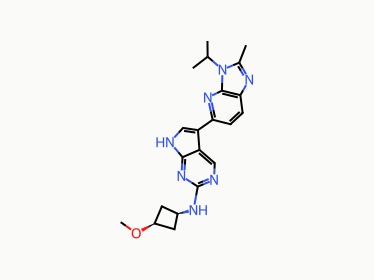 CO[C@H]1C[C@@H](Nc2ncc3c(-c4ccc5nc(C)n(C(C)C)c5n4)c[nH]c3n2)C1